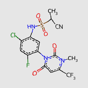 CC(C#N)S(=O)(=O)Nc1cc(-n2c(=O)cc(C(F)(F)F)n(C)c2=O)c(F)cc1Cl